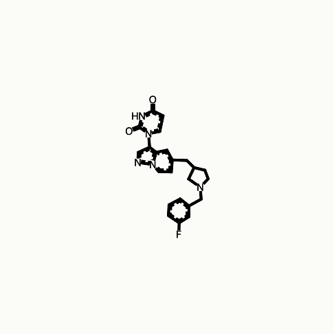 O=c1ccn(-c2cnn3ccc(CC4CCN(Cc5cccc(F)c5)C4)cc23)c(=O)[nH]1